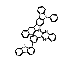 c1ccc(-n2c3ccccc3c3cc4c5cc6ccccc6cc5n(-c5nc6ccccc6nc5-c5cccc(-c6cccc7c6sc6ccccc67)c5)c4cc32)cc1